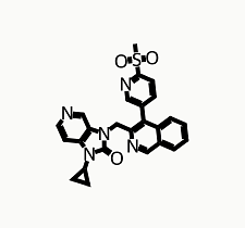 CS(=O)(=O)c1ccc(-c2c(Cn3c(=O)n(C4CC4)c4ccncc43)ncc3ccccc23)cn1